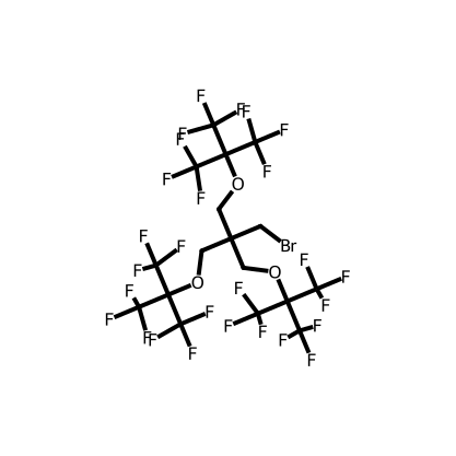 FC(F)(F)C(OCC(CBr)(COC(C(F)(F)F)(C(F)(F)F)C(F)(F)F)COC(C(F)(F)F)(C(F)(F)F)C(F)(F)F)(C(F)(F)F)C(F)(F)F